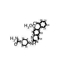 COc1cc2nc(NC3CCN(C(N)=O)CC3)ncc2cc1-c1ccccc1Cl